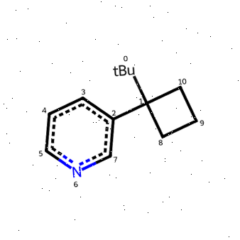 CC(C)(C)C1(c2cccnc2)CCC1